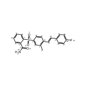 Cc1cc(S(=O)(=O)c2ccccc2C(N)=O)ccc1C=Cc1ccc(F)cc1